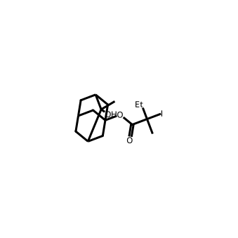 CCC(C)(I)C(=O)OC12CC3CC(C1)C(C)(O)C(C3)C2